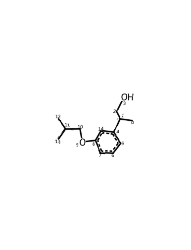 C[C](CO)c1cccc(OCC(C)C)c1